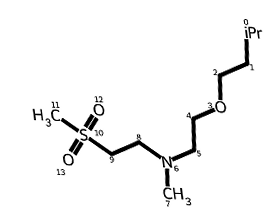 CC(C)CCOCCN(C)CCS(C)(=O)=O